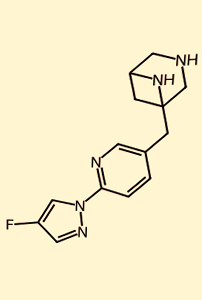 Fc1cnn(-c2ccc(CC34CNCC(C3)N4)cn2)c1